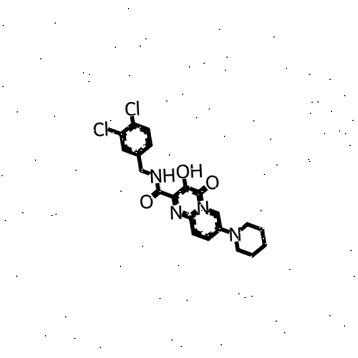 O=C(NCc1ccc(Cl)c(Cl)c1)c1nc2ccc(N3CCCCC3)cn2c(=O)c1O